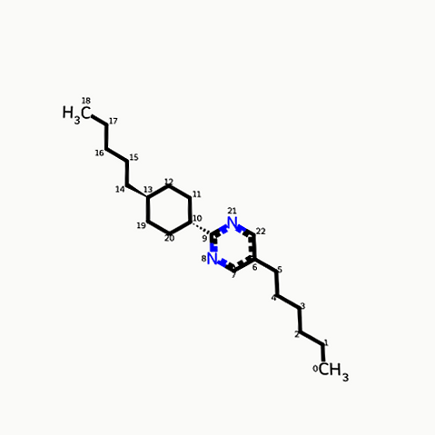 CCCCCCc1cnc([C@H]2CC[C@H](CCCCC)CC2)nc1